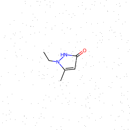 [CH2]c1cc(=O)[nH]n1CC